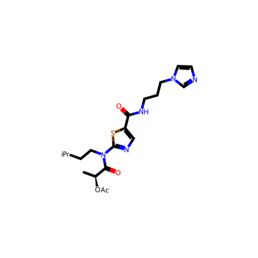 CC(=O)O[C@@H](C)C(=O)N(CCC(C)C)c1ncc(C(=O)NCCCn2ccnc2)s1